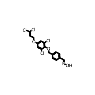 O/N=C/c1ccc(COc2c(Cl)cc(OCC=C(Cl)Cl)cc2Cl)cc1